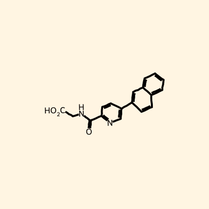 O=C(O)CNC(=O)c1ccc(-c2ccc3ccccc3c2)cn1